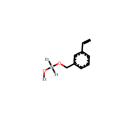 C=Cc1cccc(CO[Si](CC)(CC)OCC)c1